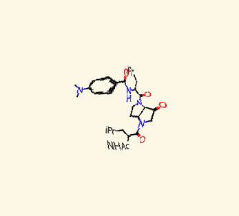 CC(=O)NC(CC(C)C)C(=O)N1CC(=O)C2C1CCN2C(=O)C(CC(C)C)NC(=O)c1ccc(N(C)C)cc1